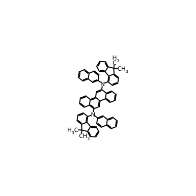 CC1(C)c2ccccc2-c2c(N(c3ccc4ccccc4c3)c3cc4c5ccccc5c(N(c5ccc6ccccc6c5)c5cccc6c5-c5ccccc5C6(C)C)cc4c4ccccc34)cccc21